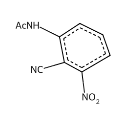 CC(=O)Nc1cccc([N+](=O)[O-])c1C#N